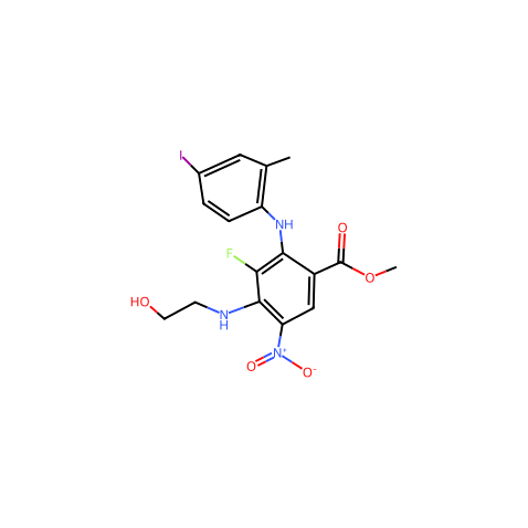 COC(=O)c1cc([N+](=O)[O-])c(NCCO)c(F)c1Nc1ccc(I)cc1C